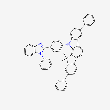 CC1(C)c2cc(-c3ccccc3)ccc2-c2ccc3c4cc(-c5ccccc5)ccc4n(-c4ccc(-c5nc6ccccc6n5-c5ccccc5)cc4)c3c21